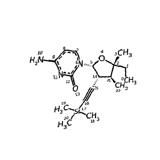 CC[C@@]1(C)O[C@@H](n2ccc(N)nc2=O)[C@@H](C#C[Si](C)(C)C)[C@@H]1C